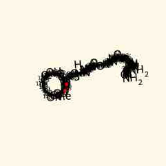 CO[C@H]1CC2CCCC(O2)C(=O)C(=O)N2CCCC[C@H]2C(=O)O[C@H](CC[C@H]2CC[C@H](OC(=S)NCc3cnc(N4CCN(C(=O)CCOCCN5CCN(c6ncc(C(=O)N7CCc8cc(Cn9nc(-c%10ccc%11oc(N)nc%11c%10)c%10c(N)ncnc%109)ccc8C7)cn6)CC5)CC4)nc3)CC2)CC(=O)[C@H](C)/C=C(\C)[C@@H](O)CC(=O)[C@H](C)C[C@H](C)/C=C/C=C/C=C/1C